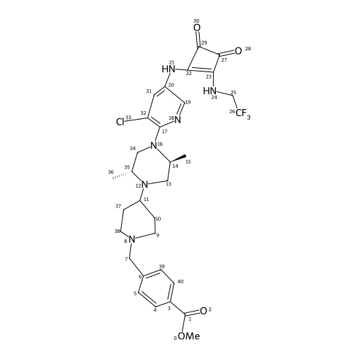 COC(=O)c1ccc(CN2CCC(N3C[C@H](C)N(c4ncc(Nc5c(NCC(F)(F)F)c(=O)c5=O)cc4Cl)C[C@H]3C)CC2)cc1